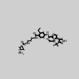 CCc1cc(Nc2nccn3c(-c4c[nH]nc4C(F)(F)F)cnc23)ccc1C(=O)NCCCNC(=O)[C@H]1C[C@@H](N)C1